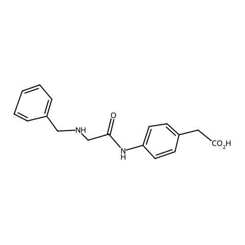 O=C(O)Cc1ccc(NC(=O)CNCc2ccccc2)cc1